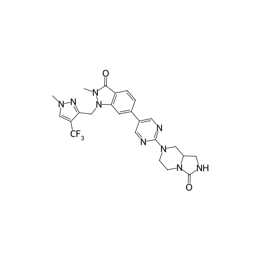 Cn1cc(C(F)(F)F)c(Cn2c3cc(-c4cnc(N5CCN6C(=O)NCC6C5)nc4)ccc3c(=O)n2C)n1